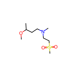 COC(C)CCN(C)CCS(C)(=O)=O